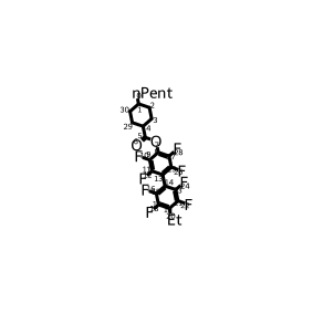 CCCCCC1CCC(C(=O)Oc2c(F)c(F)c(-c3c(F)c(F)c(CC)c(F)c3F)c(F)c2F)CC1